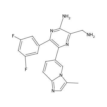 Cc1cnc2ccc(-c3nc(CN)c(N)nc3-c3cc(F)cc(F)c3)cn12